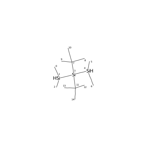 C[SiH](C)[Si]([SiH](C)C)(C(C)(C)C)C(C)(C)C